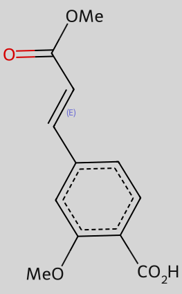 COC(=O)/C=C/c1ccc(C(=O)O)c(OC)c1